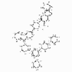 CC1(C)c2cc(-c3ccc4c(c3)c3ccccc3n4-c3cccc(-c4nc(-c5ccccc5)nc(-c5ccc(-c6cccnc6)cc5)n4)c3)ccc2-c2cc3c(cc21)oc1ccccc13